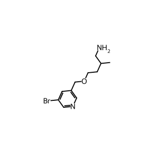 CC(CN)CCOCc1cncc(Br)c1